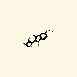 COc1ccc2[nH]c(-c3scc(C)c3C(C)C)c(C)c2c1